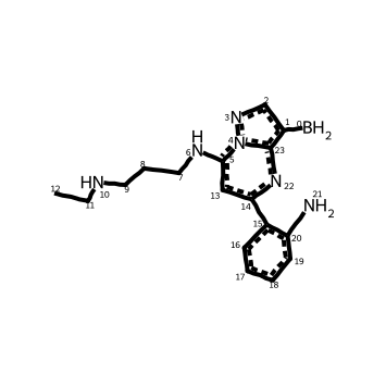 Bc1cnn2c(NCCCNCC)cc(-c3ccccc3N)nc12